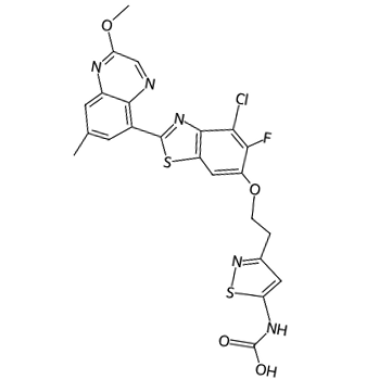 COc1cnc2c(-c3nc4c(Cl)c(F)c(OCCc5cc(NC(=O)O)sn5)cc4s3)cc(C)cc2n1